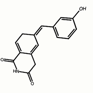 O=C1CC2=CC(=Cc3cccc(O)c3)CC=C2C(=O)N1